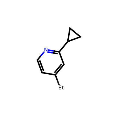 [CH2]Cc1ccnc(C2CC2)c1